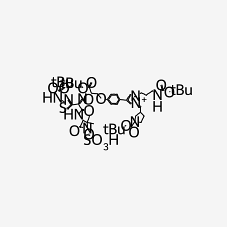 CC(C)(C)OC(=O)NCCCn1cc(-c2ccc(OCC(O/N=C(\C(=O)NC3C(=O)N(OS(=O)(=O)O)C3(C)C)c3csc(NC(=O)OC(C)(C)C)n3)C(=O)OC(C)(C)C)cc2)c[n+]1CC1CCN(C(=O)OC(C)(C)C)C1